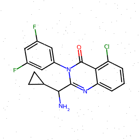 NC(c1nc2cccc(Cl)c2c(=O)n1-c1cc(F)cc(F)c1)C1CC1